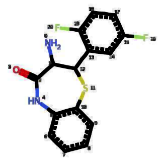 NC1C(=O)Nc2ccccc2SC1c1cc(F)ccc1F